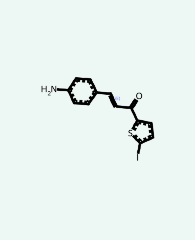 Nc1ccc(/C=C/C(=O)c2ccc(I)s2)cc1